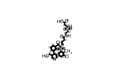 Cc1c(Cl)cccc1S(=O)(=O)N(CCCC(=O)NCCS(=O)(=O)NCC(=O)O)[C@@H](C)c1cccc(-c2ccncc2CO)c1